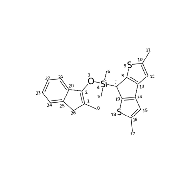 CC1=C(O[Si](C)(C)C2c3sc(C)cc3-c3cc(C)sc32)c2ccccc2C1